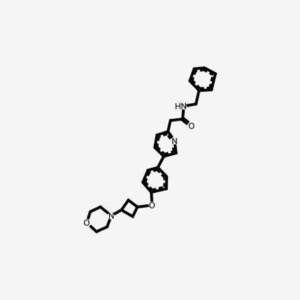 O=C(Cc1ccc(-c2ccc(OC3CC(N4CCOCC4)C3)cc2)cn1)NCc1ccccc1